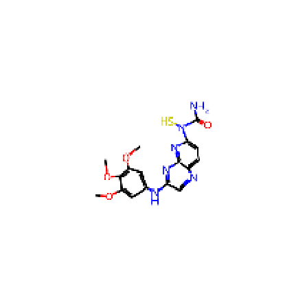 COc1cc(Nc2cnc3ccc(N(S)C(N)=O)nc3n2)cc(OC)c1OC